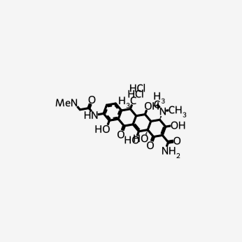 CNCC(=O)Nc1ccc2c(c1O)C(=O)C1=C(O)[C@]3(O)C(=O)C(C(N)=O)=C(O)[C@@H](N(C)C)C3C(O)C1C2C.Cl.Cl